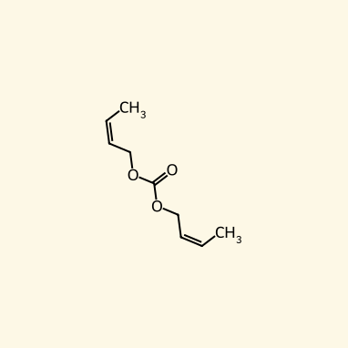 C/C=C\COC(=O)OC/C=C\C